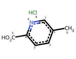 Cc1ccc(C(=O)O)nc1.Cl